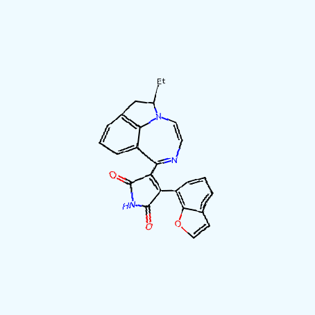 CCC1Cc2cccc3c2N1C=CN=C3C1=C(c2cccc3ccoc23)C(=O)NC1=O